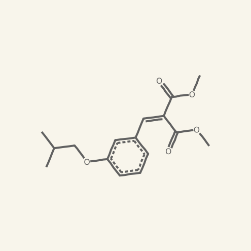 COC(=O)C(=Cc1cccc(OCC(C)C)c1)C(=O)OC